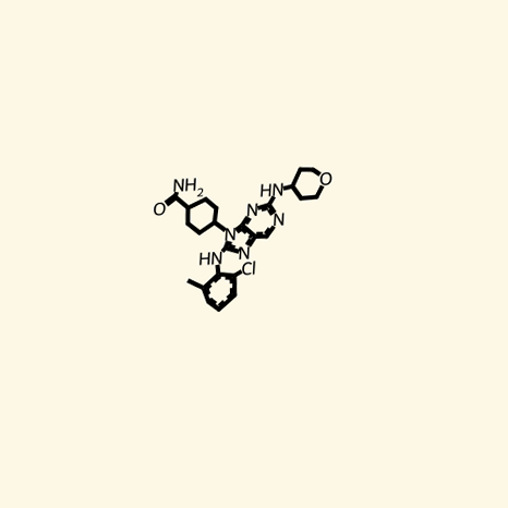 Cc1cccc(Cl)c1Nc1nc2cnc(NC3CCOCC3)nc2n1C1CCC(C(N)=O)CC1